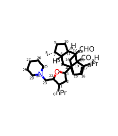 CCCC1CC(C23C[C@@H]4[C@H](C)CC[C@H]4C4(C=O)CC2C=C(C(C)C)C34C(=O)O)OC1CN1CCCCC1